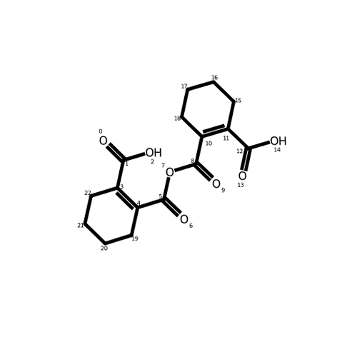 O=C(O)C1=C(C(=O)OC(=O)C2=C(C(=O)O)CCCC2)CCCC1